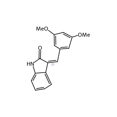 COc1cc(/C=C2\C(=O)Nc3ccccc32)cc(OC)c1